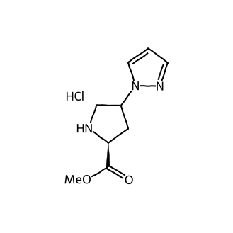 COC(=O)[C@@H]1CC(n2cccn2)CN1.Cl